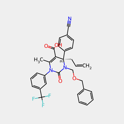 C=CC[C@@]1(c2ccc(C#N)cc2)C(C(=O)O)=C(C)N(c2cccc(C(F)(F)F)c2)C(=O)N1COCc1ccccc1